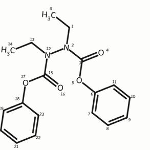 CCN(C(=O)Oc1ccccc1)N(CC)C(=O)Oc1ccccc1